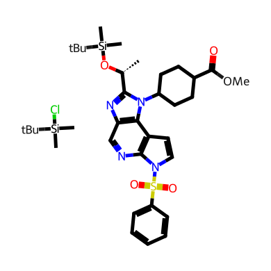 CC(C)(C)[Si](C)(C)Cl.COC(=O)C1CCC(n2c([C@@H](C)O[Si](C)(C)C(C)(C)C)nc3cnc4c(ccn4S(=O)(=O)c4ccccc4)c32)CC1